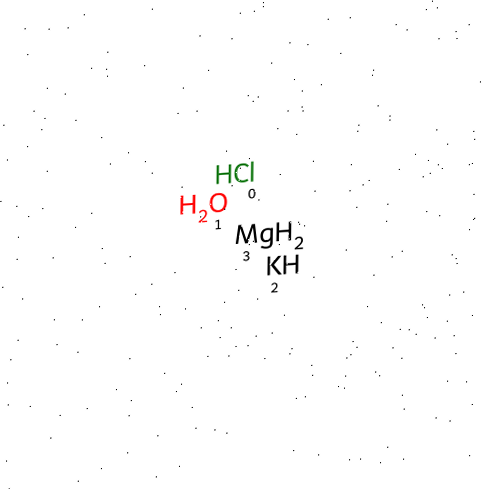 Cl.O.[KH].[MgH2]